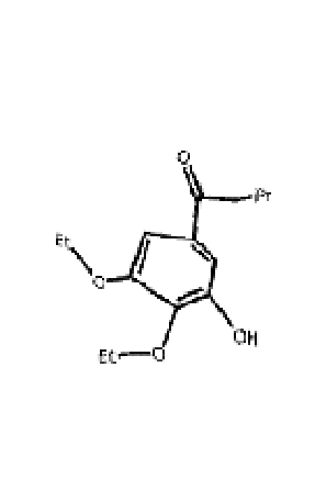 CCOc1cc(C(=O)C(C)C)cc(O)c1OCC